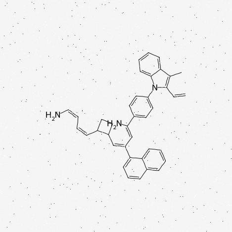 C=Cc1c(C)c2ccccc2n1-c1ccc(/C(N)=C/C(=C\C2CCC2/C=C\C=C/N)c2cccc3ccccc23)cc1